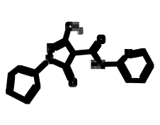 CC1=NN(c2ccccc2)C(=O)C1C(=O)Nc1ccccn1